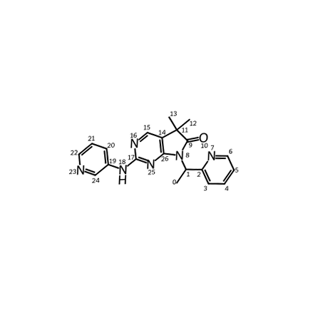 CC(c1ccccn1)N1C(=O)C(C)(C)c2cnc(Nc3cccnc3)nc21